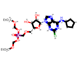 CCOC(=O)OCOP(=O)(COC[C@H]1O[C@@H](n2cnc3c(NC4CCCC4)nc(Cl)nc32)[C@H](O)[C@@H]1O)OCOC(=O)OCC